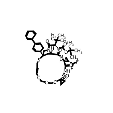 CC(C)(C)OC(=O)N[C@H](C(=O)N1C[C@]2(C3C=CC(c4ccccc4)=CC3)C[C@H]1C(=O)N[C@@]1(C[C@H]1C(F)F)C(=O)NS(=O)(=O)C1(CCCCC/C=C/CS2)CC1)C(C)(C)C